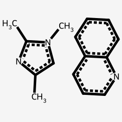 Cc1cn(C)c(C)n1.c1ccc2ncccc2c1